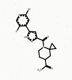 CCc1cc(-c2cc(C(=O)N3CCC(C(N)=O)CC34CC4)n[nH]2)c(F)cn1